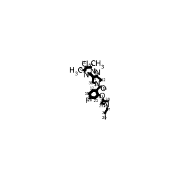 Cc1nc2c3c(nn2c(C)c1Cl)CN(C(=O)c1ccc(F)cc1OC1CN(CCI)C1)C3